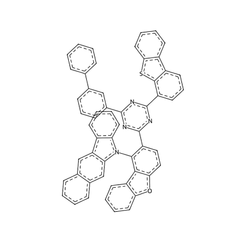 c1ccc(-c2cccc(-c3nc(-c4ccc5oc6ccccc6c5c4-n4c5ccccc5c5cc6ccccc6cc54)nc(-c4cccc5c4sc4ccccc45)n3)c2)cc1